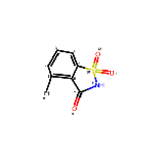 CCc1cccc2c1C(=O)NS2(=O)=O